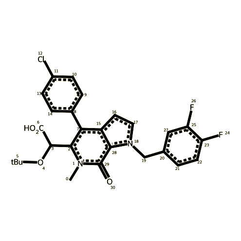 Cn1c(C(OC(C)(C)C)C(=O)O)c(-c2ccc(Cl)cc2)c2ccn(Cc3ccc(F)c(F)c3)c2c1=O